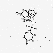 CC(C)(OC(=O)C1C2CC3CC(=O)C1C3C2)C1CCNCC1